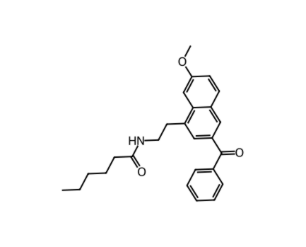 CCCCCC(=O)NCCc1cc(C(=O)c2ccccc2)cc2ccc(OC)cc12